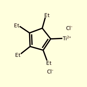 CCC1=[C]([Ti+2])C(CC)C(CC)=C1CC.[Cl-].[Cl-]